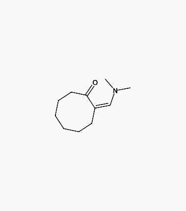 CN(C)/C=C1/CCCCCCC1=O